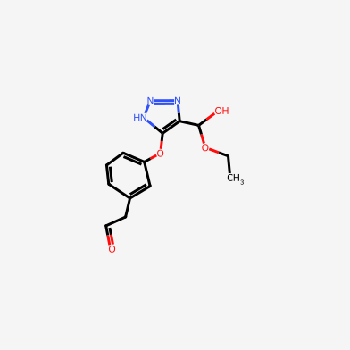 CCOC(O)c1nn[nH]c1Oc1cccc(CC=O)c1